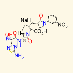 Nc1nc(/C(=N/O)C(=O)N[C@H]2C(=O)N3C(C(=O)O)=C(C=C4CCN(c5cccc([N+](=O)[O-])c5)C4=O)CC[C@@H]23)ns1.[NaH]